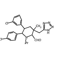 CC(C)N1C(c2ccc(Cl)cc2)C(c2cccc(Cl)c2)CC(C)(Cc2nnn[nH]2)C1C=O